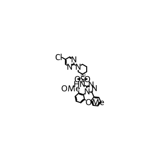 COc1cccc(OC)c1-n1c(NS(=O)(=O)[C@H]2CCCN(c3ncc(Cl)cn3)C2)nnc1-c1ccccc1